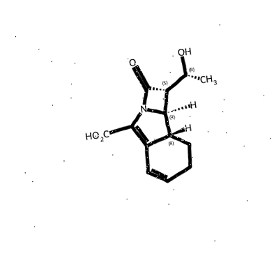 C[C@@H](O)[C@H]1C(=O)N2C(C(=O)O)=C3C=CCC[C@H]3[C@H]12